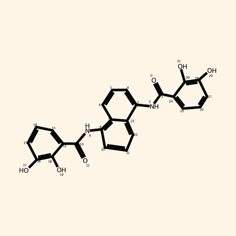 O=C(Nc1cccc2c(NC(=O)c3cccc(O)c3O)cccc12)c1cccc(O)c1O